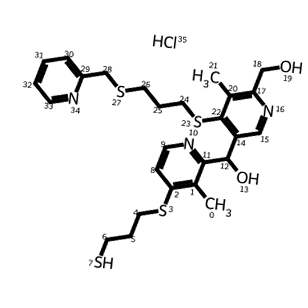 Cc1c(SCCCS)ccnc1C(O)c1cnc(CO)c(C)c1SCCCSCc1ccccn1.Cl